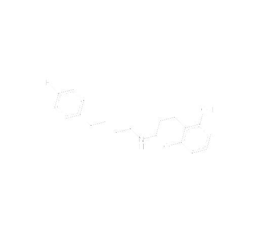 Oc1cccc2c1CCC(NCCCCc1ccc(F)cc1)O2